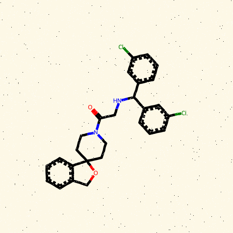 O=C(CNC(c1cccc(Cl)c1)c1cccc(Cl)c1)N1CCC2(CC1)OCc1ccccc12